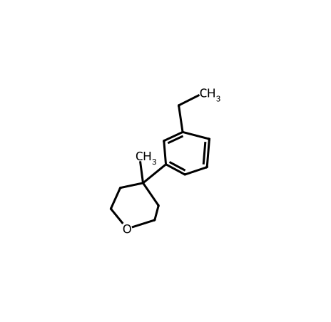 CCc1cccc(C2(C)CCOCC2)c1